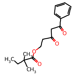 CCC(C)(C)C(=O)OCCC(=O)CC(=O)c1ccccc1